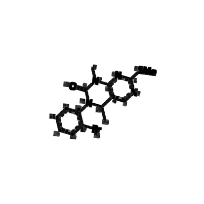 CSc1ncc2c(n1)N(C)C(=O)N(c1ccccc1Br)C2C